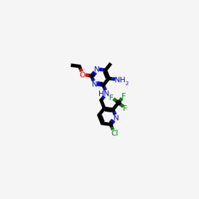 CCOc1nc(C)c(N)c(NCc2ccc(Cl)nc2C(F)(F)F)n1